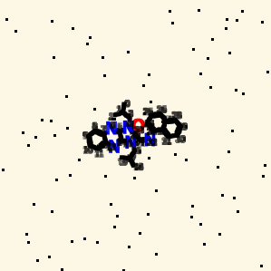 CC(C)CN1c2nc3ccccc3nc2N(CC(C)C)C12C=Nc1c(ccc3ccccc13)O2